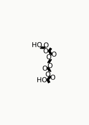 CC(O)C(=O)OCC(=O)OCCOC(=O)C(C)OC(=O)CO